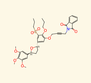 CCCOc1c(OCC#CCN2C(=O)c3ccccc3C2=O)cc([C@@H]2CC[C@@H](c3cc(OC)c(OC)c(OC)c3)O2)cc1S(=O)(=O)CCC